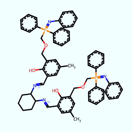 Cc1cc(/C=N/C2CCCCC2/N=C/c2cc(C)cc(COCP(=Nc3ccccc3)(c3ccccc3)c3ccccc3)c2O)c(O)c(COCP(=Nc2ccccc2)(c2ccccc2)c2ccccc2)c1